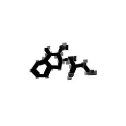 C[C@@H]1c2ccccc2C[C@@H](NC(=O)OC(C)(C)C)[C@H]1O